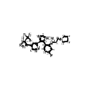 Cn1cnc(-c2cc(-c3nn[nH]c3C(F)(F)F)ccn2)c1-c1ccc(F)cc1OCCN1CCCC1